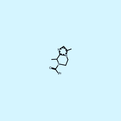 Cc1cnc2n1CCN(C(=O)C(C)C)C2C